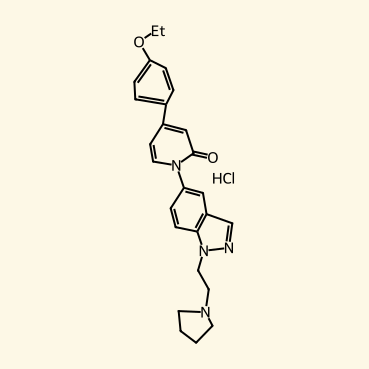 CCOc1ccc(-c2ccn(-c3ccc4c(cnn4CCN4CCCC4)c3)c(=O)c2)cc1.Cl